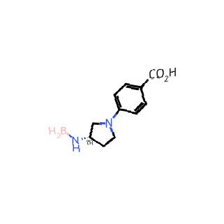 BN[C@H]1CCN(c2ccc(C(=O)O)cc2)C1